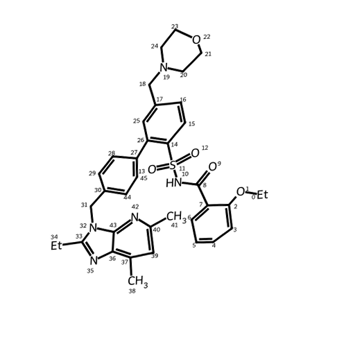 CCOc1ccccc1C(=O)NS(=O)(=O)c1ccc(CN2CCOCC2)cc1-c1ccc(Cn2c(CC)nc3c(C)cc(C)nc32)cc1